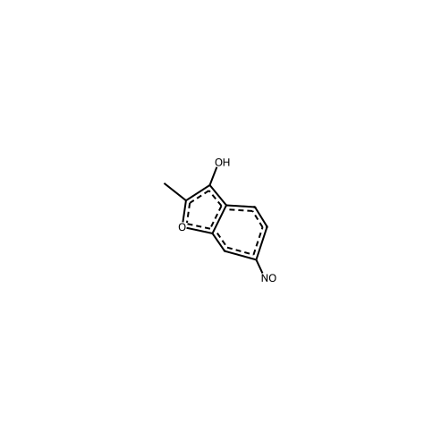 Cc1oc2cc(N=O)ccc2c1O